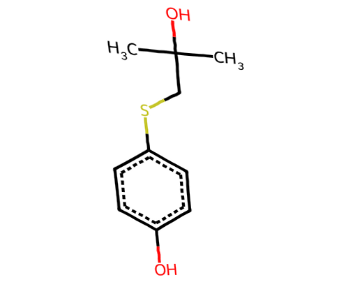 CC(C)(O)CSc1ccc(O)cc1